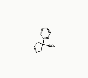 N#CC1(c2ccccn2)CC=CC1